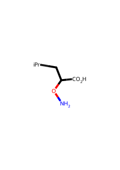 CC(C)CC(ON)C(=O)O